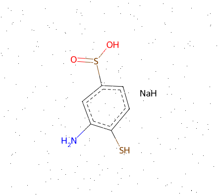 Nc1cc(S(=O)O)ccc1S.[NaH]